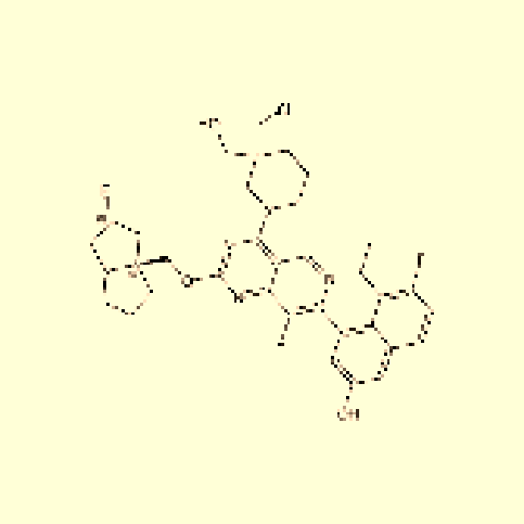 CCc1c(F)ccc2cc(O)cc(-c3ncc4c(N5CCCC(CO)(CCl)C5)nc(OC[C@@]56CCCN5C[C@H](F)C6)nc4c3F)c12